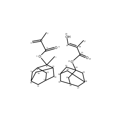 C=C(C)C(=O)OC1(C)C2CC3CC(C2)CC1C3.CC(=CO)C(=O)OC12CC3CC(CC(C3)C1)C2